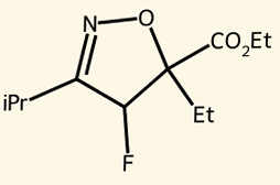 CCOC(=O)C1(CC)ON=C(C(C)C)C1F